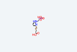 O=C(O)CCSSc1cccc(NCCO[PH](=O)O)n1